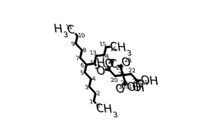 CCCCCCC(CCCCC)C(CCCC)OC(=O)CC(CC(=O)O)(C(C)=O)C(=O)O